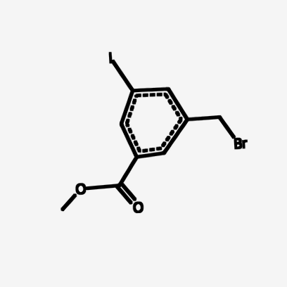 COC(=O)c1cc(I)cc(CBr)c1